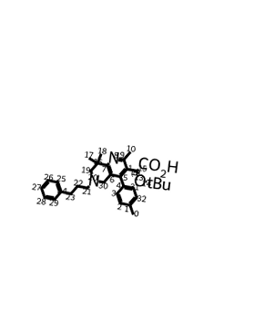 Cc1ccc(-c2c3c(nc(C)c2[C@H](OC(C)(C)C)C(=O)O)C(C)(C)CN(CCCc2ccccc2)C3)cc1